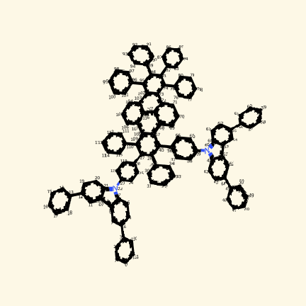 c1ccc(-c2ccc3c(c2)c2cc(-c4ccccc4)ccc2n3-c2ccc(-c3c(-c4ccccc4)c(-c4ccc(-n5c6ccc(-c7ccccc7)cc6c6cc(-c7ccccc7)ccc65)cc4)c4c5cccc6c7c(-c8ccccc8)c(-c8ccccc8)c(-c8ccccc8)c(-c8ccccc8)c7c7cccc(c4c3-c3ccccc3)c7c65)cc2)cc1